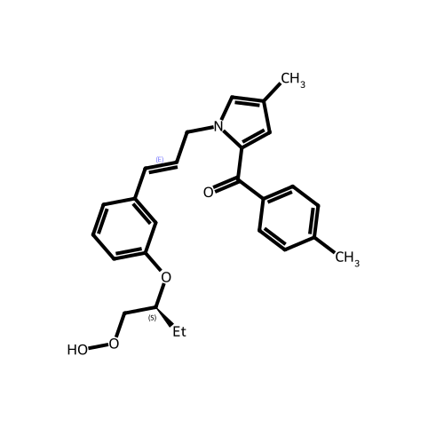 CC[C@@H](COO)Oc1cccc(/C=C/Cn2cc(C)cc2C(=O)c2ccc(C)cc2)c1